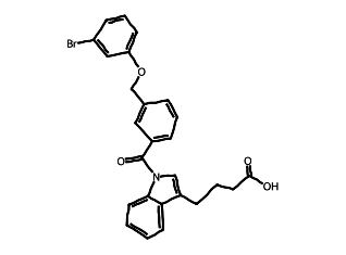 O=C(O)CCCc1cn(C(=O)c2cccc(COc3cccc(Br)c3)c2)c2ccccc12